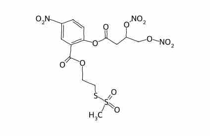 CS(=O)(=O)SCCOC(=O)c1cc([N+](=O)[O-])ccc1OC(=O)CC(CO[N+](=O)[O-])O[N+](=O)[O-]